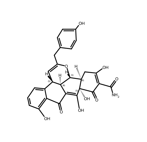 NC(=O)C1=C(O)C[C@@H]2[C@H]3OC(Cc4ccc(O)cc4)=C[C@H]4c5cccc(O)c5C(=O)C(=C(O)[C@]2(O)C1=O)[C@H]34